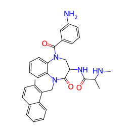 CNC(C)C(=O)NC1CN(C(=O)c2cccc(N)c2)c2ccccc2N(Cc2c(C)ccc3ccccc23)C1=O